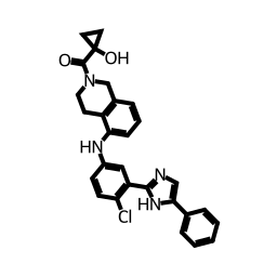 O=C(N1CCc2c(cccc2Nc2ccc(Cl)c(-c3ncc(-c4ccccc4)[nH]3)c2)C1)C1(O)CC1